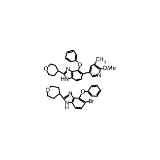 Brc1ccc2[nH]c(C3CCOCC3)nc2c1Oc1ccccc1.COc1ncc(-c2ccc3[nH]c(C4CCOCC4)nc3c2Oc2ccccc2)cc1C